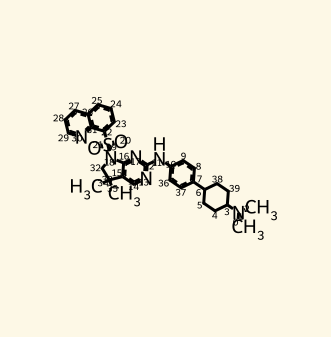 CN(C)C1CCC(c2ccc(Nc3ncc4c(n3)N(S(=O)(=O)c3cccc5cccnc35)CC4(C)C)cc2)CC1